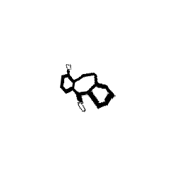 O=C1c2ccccc2CCc2c(Cl)cccc21